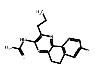 CCCc1nc2c(nc1NC(C)=O)CCc1cc(F)ccc1-2